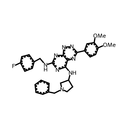 COc1ccc(-c2nnc3nc(NCc4ccc(F)cc4)nc(NC4CCN(Cc5ccccc5)C4)c3n2)cc1OC